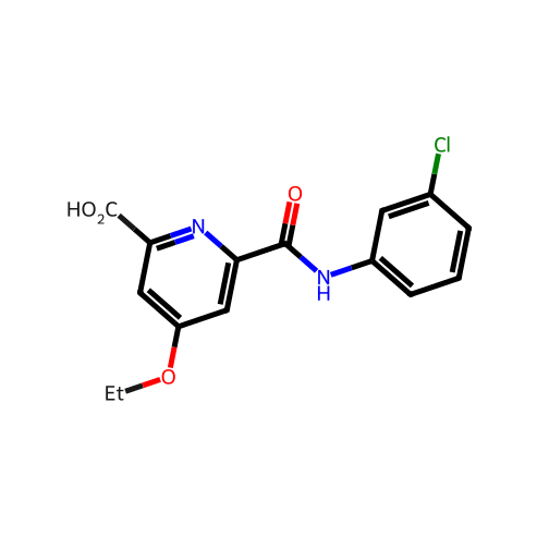 CCOc1cc(C(=O)O)nc(C(=O)Nc2cccc(Cl)c2)c1